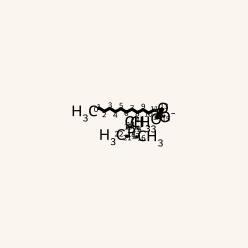 CCCCCCCCCCCCS(=O)(=O)[O-].CC[P+](CC)(CC)CC